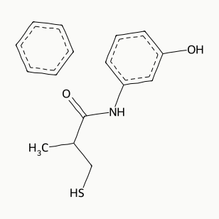 CC(CS)C(=O)Nc1cccc(O)c1.c1ccccc1